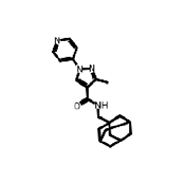 Cc1nn(-c2ccncc2)cc1C(=O)NCC12CC3CC(CC(C3)C1)C2